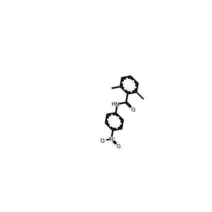 Cc1cccc(C)c1C(=O)Nc1ccc([N+](=O)[O-])cc1